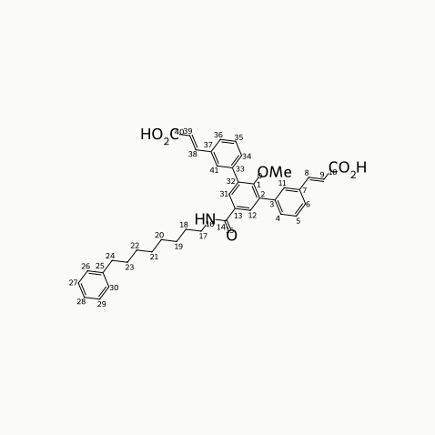 COc1c(-c2cccc(C=CC(=O)O)c2)cc(C(=O)NCCCCCCCCc2ccccc2)cc1-c1cccc(C=CC(=O)O)c1